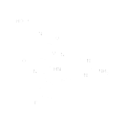 COc1cccc(-c2cc(F)ccc2[C@H]2Cc3nc(N)nc(C)c3C(=NOC(=O)CN3CCC[C@@H](O)C3)N2)n1